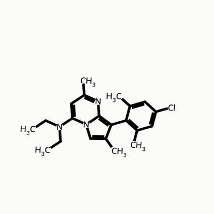 CCN(CC)c1cc(C)nc2c(-c3c(C)cc(Cl)cc3C)c(C)cn12